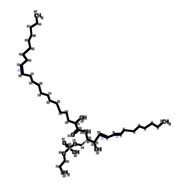 CCCCCCC/C=C/C=C/[C@@H](O)[C@H](COP(=O)(O)OCCN)NC(=O)C(O)CCCCCCCCCC/C=C\CCCCCCCC